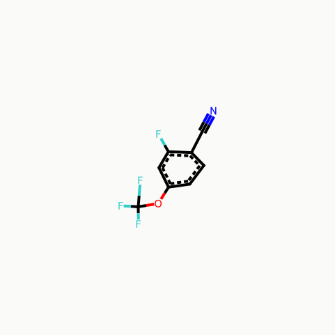 N#Cc1ccc(OC(F)(F)F)cc1F